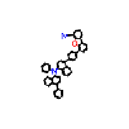 N#Cc1cccc2c1oc1c(-c3ccc(-c4ccc(N(c5ccccc5)c5ccc(-c6ccccc6)c6ccccc56)c5ccccc45)cc3)cccc12